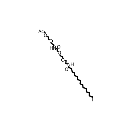 CC(=O)COCCOCCNC(=O)COCCOCCNC(=O)CCCCCCCCCCCCCCCI